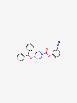 N#Cc1ccc(F)c(OC(=O)N2CCC(OC(c3ccccc3)c3ccccc3)CC2)c1